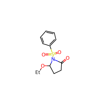 CCOC1CCC(=O)N1S(=O)(=O)c1ccccc1